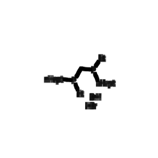 Br.Br.CCCCCCCP(CC)CP(CC)CCCCCCC